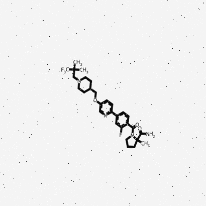 CC1(C(N)=O)CCCN1C(=O)c1ccc(-c2ccc(OCC3CCN(CC(C)(C)C(F)(F)F)CC3)cn2)cc1F